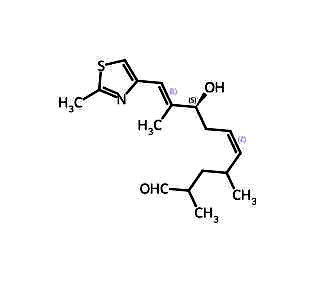 C/C(=C\c1csc(C)n1)[C@@H](O)C/C=C\C(C)CC(C)C=O